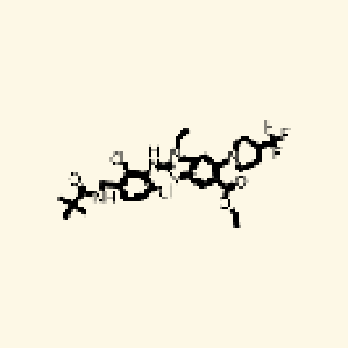 CCOC(=O)c1cc2nc(Nc3c(Cl)ccc(CNC(=O)C(C)(C)C)c3Cl)n(CC)c2cc1N1CCC(C(F)(F)F)CC1